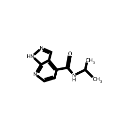 CC(C)NC(=O)c1ccnc2[nH]ncc12